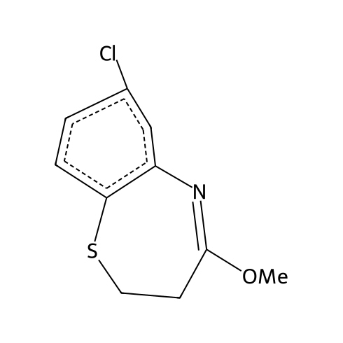 COC1=Nc2cc(Cl)ccc2SCC1